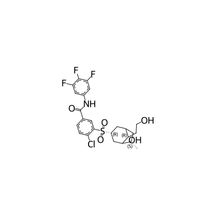 C[C@H]1CC2C[C@@H](S(=O)(=O)c3cc(C(=O)Nc4cc(F)c(F)c(F)c4)ccc3Cl)CC1[C@@]2(O)CCO